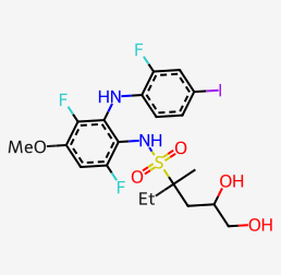 CCC(C)(CC(O)CO)S(=O)(=O)Nc1c(F)cc(OC)c(F)c1Nc1ccc(I)cc1F